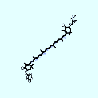 C/N=N\N(C)CSC1CC(C)(C)C(/C=C/C(C)=C/C=C/C(C)=C/C=C/C=C(C)/C=C/C=C(C)/C=C/C2=C(C)C(=O)C(Sc3nnn(C)n3)CC2(C)C)=C(C)C1=O